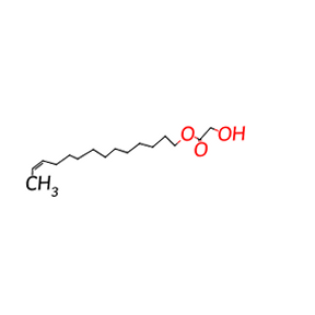 C/C=C\CCCCCCCCCCCOC(=O)CO